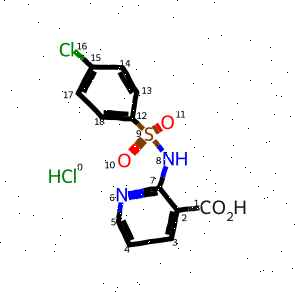 Cl.O=C(O)c1cccnc1NS(=O)(=O)c1ccc(Cl)cc1